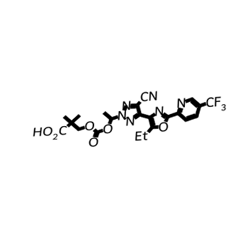 CCc1oc(-c2ccc(C(F)(F)F)cn2)nc1-c1nn(C(C)OC(=O)OCC(C)(C)C(=O)O)nc1C#N